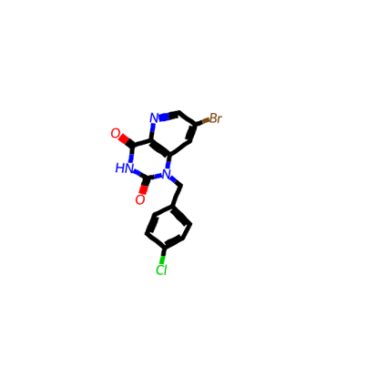 O=c1[nH]c(=O)n(Cc2ccc(Cl)cc2)c2cc(Br)cnc12